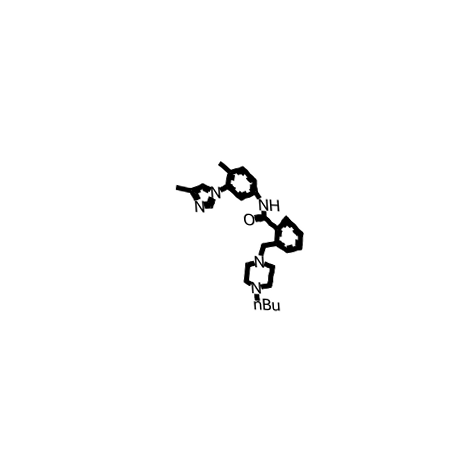 CCCCN1CCN(Cc2ccccc2C(=O)Nc2ccc(C)c(-n3cnc(C)c3)c2)CC1